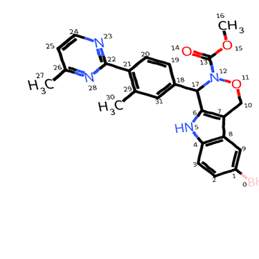 Bc1ccc2[nH]c3c(c2c1)CON(C(=O)OC)C3c1ccc(-c2nccc(C)n2)c(C)c1